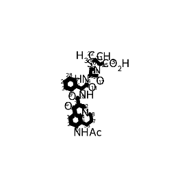 CC(=O)Nc1ccc2c(=O)c(C(=O)NC(C(=O)NC3C(=O)N4C3SC(C)(C)C4C(=O)O)c3ccccc3)cn3c2c1CCC3